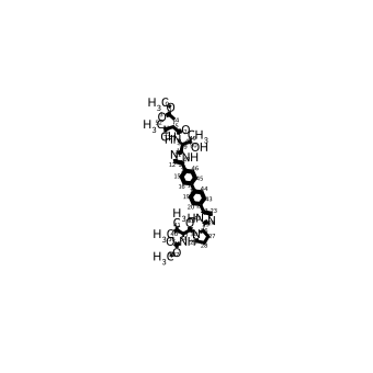 COC(=O)C[C@H](C(=O)N[C@H](c1ncc(-c2ccc(-c3ccc(-c4cnc([C@@H]5CCCN5C(=O)[C@@H](NC(=O)OC)C(C)C)[nH]4)cc3)cc2)[nH]1)[C@@H](C)O)C(C)C